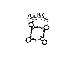 O=C(O[SiH2]OC(=O)C(Cl)(Cl)Cl)C(Cl)(Cl)Cl.c1ccc2c(c1)-c1nc-2nc2[nH]c(nc3nc(nc4[nH]c(n1)c1ccccc41)-c1ccccc1-3)c1ccccc21